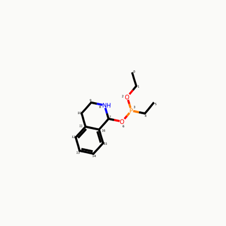 CCOP(CC)OC1NCCc2ccccc21